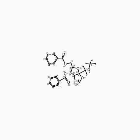 CC(C)(C)OC(C)(C)[C@@]1(O[SiH3])O[C@H](COC(=O)c2ccccc2)[C@@H](OC(=O)c2ccccc2)[C@@H]1O